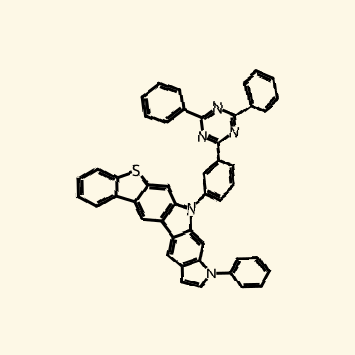 c1ccc(-c2nc(-c3ccccc3)nc(-c3cccc(-n4c5cc6sc7ccccc7c6cc5c5cc6ccn(-c7ccccc7)c6cc54)c3)n2)cc1